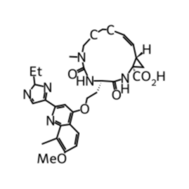 CCC1N=CC(c2cc(OCC[C@@H]3NC(=O)N(C)CCCC/C=C\[C@@H]4C[C@@]4(C(=O)O)NC3=O)c3ccc(OC)c(C)c3n2)=N1